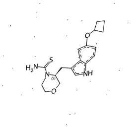 NC(=S)N1CCOC[C@@H]1Cc1c[nH]c2ccc(OC3CCC3)cc12